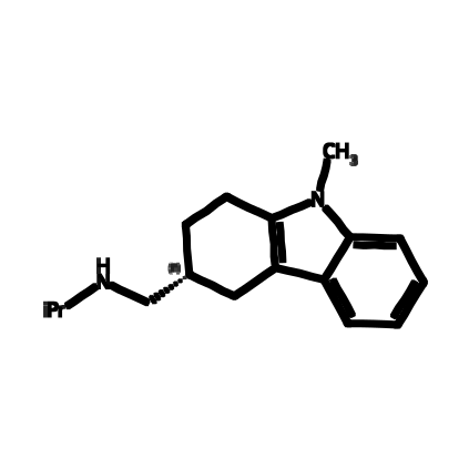 CC(C)NC[C@@H]1CCc2c(c3ccccc3n2C)C1